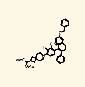 COc1c(C2=C(c3ccccc3)CCc3cc(OCc4ccccc4)ccc32)ccc(N2CCC3(CC2)CC(C(OC)OC)C3)c1F